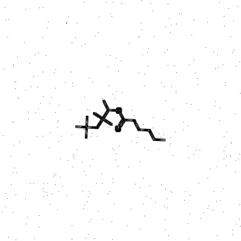 CCCCCC(=O)OC(C)C(C)(C)CC(C)(C)C